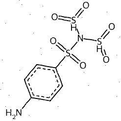 Nc1ccc(S(=O)(=O)N([SH](=O)=O)[SH](=O)=O)cc1